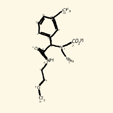 CC(C)(C)N(C(=O)O)C(C(=O)NCCOC(F)(F)F)c1cccc(C(F)(F)F)c1